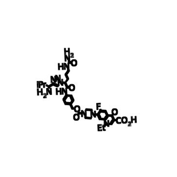 CCn1cc(C(=O)O)c(=O)c2cc(F)c(N3CCN(C(=O)OCc4ccc(NC(=O)[C@H](CCCNC(N)=O)n5cc([C@@H](N)C(C)C)nn5)cc4)CC3)cc21